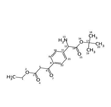 CCOC(=O)CC(=O)c1ccc(C(N)C(=O)OC(C)(C)C)cc1